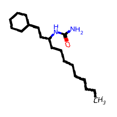 CCCCCCCCCC(CCC1CCCCC1)NC(N)=O